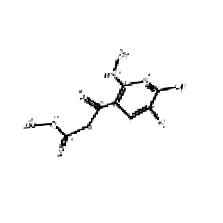 CCCNc1nc(O)c(Br)cc1C(=O)CC(=O)OC(C)(C)C